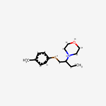 CCC(CSc1ccc(C)cc1)N1CCOCC1